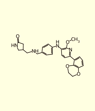 COc1nc(-c2cccc3c2OCCO3)ccc1Nc1ccc(CNCC2CNC(=O)C2)cc1